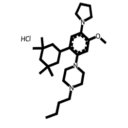 CCCCN1CCN(c2cc(OC)c(N3CCCC3)cc2C2CC(C)(C)CC(C)(C)C2)CC1.Cl